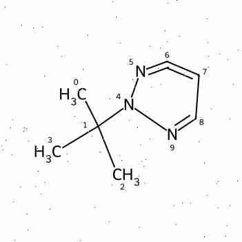 CC(C)(C)N1N=C=CC=N1